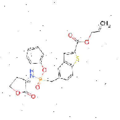 C=CCOC(=O)c1cc2cc(CP(=O)(N[C@H]3CCOC3=O)Oc3ccccc3)ccc2s1